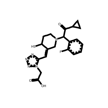 O=C(O)Cn1nnnc1C=C1CN(C(C(=O)C2CC2)c2ccccc2F)CCC1S